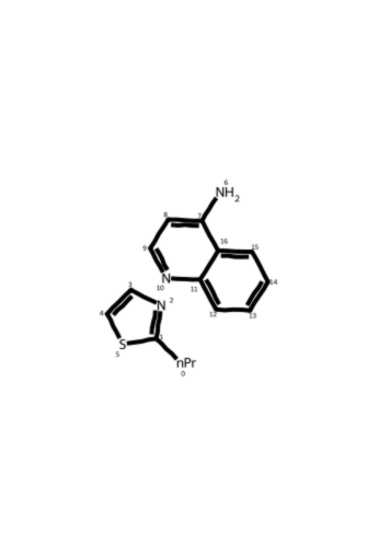 CCCc1nccs1.Nc1ccnc2ccccc12